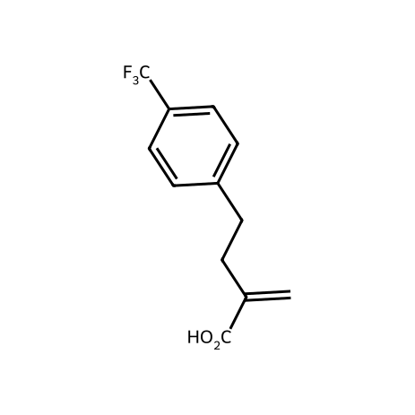 C=C(CCc1ccc(C(F)(F)F)cc1)C(=O)O